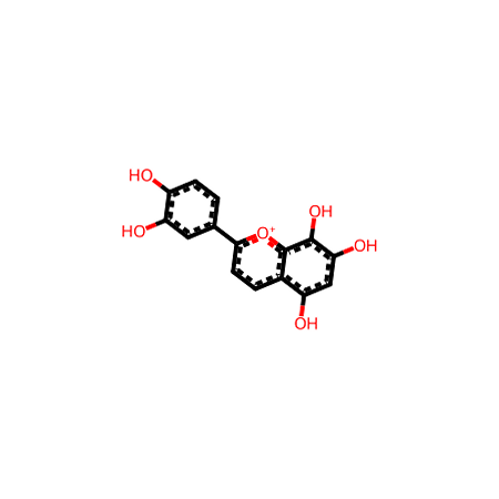 Oc1ccc(-c2ccc3c(O)cc(O)c(O)c3[o+]2)cc1O